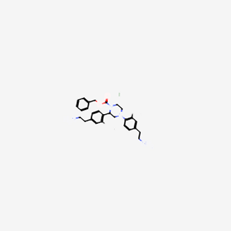 Cl.NCCc1ccc(C2CN(c3ccc(CCN)cc3C(F)(F)F)CCN2C(=O)OCc2ccccc2)c(C(F)(F)F)c1